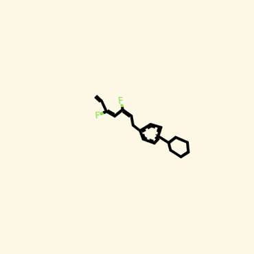 C=C/C(F)=C\C(F)=C/Cc1ccc(C2CCCCC2)cc1